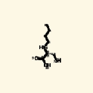 CCCCN[C@H](CS)C(=O)O